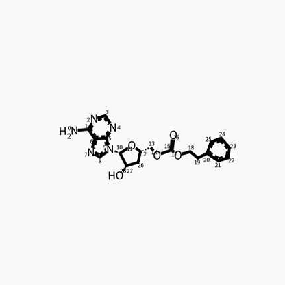 Nc1ncnc2c1ncn2[C@@H]1O[C@H](COC(=O)OCCc2ccccc2)C[C@H]1O